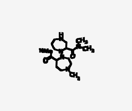 CNC(=O)C1CCN(C)CCN1N1CCCNCC1C(=O)N(C)C